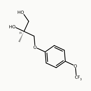 C[C@](O)(CO)COc1ccc(OC(F)(F)F)cc1